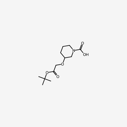 CC(C)(C)OC(=O)COC1CCCN(C(=O)O)C1